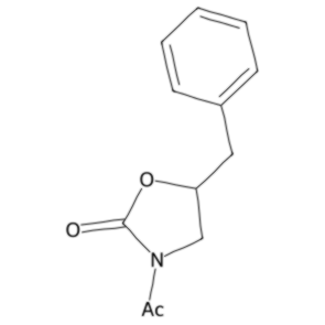 CC(=O)N1CC(Cc2ccccc2)OC1=O